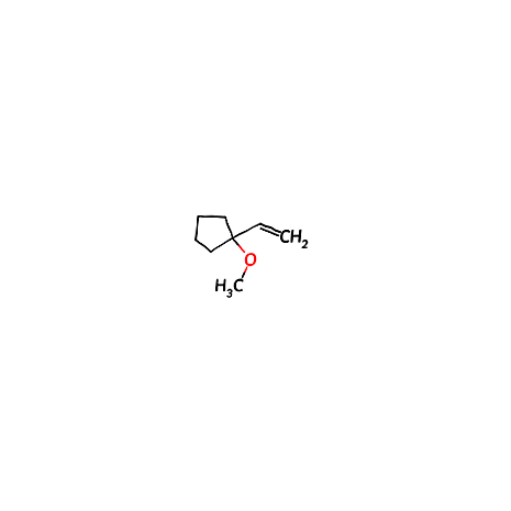 C=CC1(OC)CCCC1